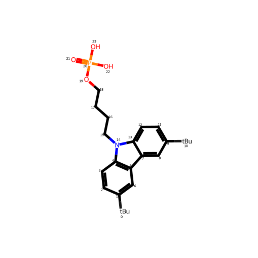 CC(C)(C)c1ccc2c(c1)c1cc(C(C)(C)C)ccc1n2CCCCOP(=O)(O)O